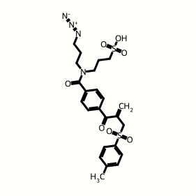 C=C(CS(=O)(=O)c1ccc(C)cc1)C(=O)c1ccc(C(=O)N(CCCN=[N+]=[N-])CCCS(=O)(=O)O)cc1